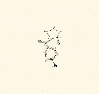 O=C(c1ccc(Br)cc1)N1CCSC1=S